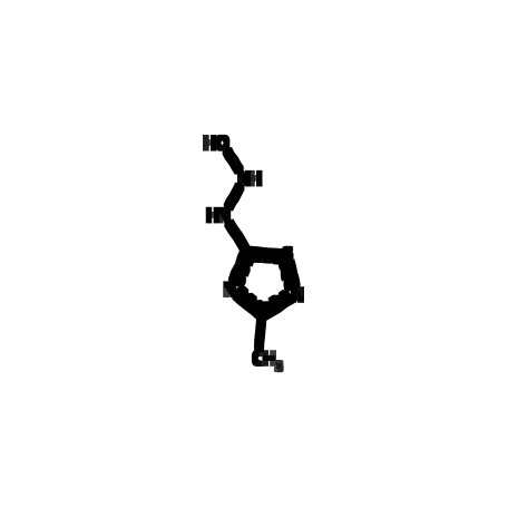 Cc1nsc(NNO)n1